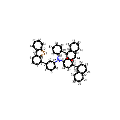 c1cc(-c2cccc3c2sc2ccccc23)cc(N(c2ccc(-c3cccc4ccccc34)cc2)c2ccccc2-c2cccc3ccccc23)c1